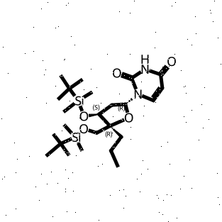 CCC[C@]1(CO[Si](C)(C)C(C)(C)C)O[C@@H](n2ccc(=O)[nH]c2=O)C[C@@H]1O[Si](C)(C)C(C)(C)C